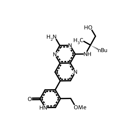 CCCC[C@](C)(CO)Nc1nc(N)nc2cc(-c3cc(=O)[nH]cc3COC)cnc12